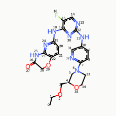 CCOC[C@H]1CN(c2ccc(Nc3ncc(F)c(Nc4ccc5c(n4)NC(=O)CO5)n3)cn2)CCO1